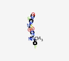 C[C@H](c1ccc(F)cc1)n1cncc1CN1CCN(S(=O)(=O)c2cnc(N3CC[C@@H](N4CCOCC4)[C@H](F)C3)s2)CC1